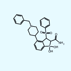 NC(=O)C1C(S(=O)(=O)c2ccccc2)c2c(C3CCN(Cc4ccccc4)CC3)cccc2S1(O)O